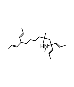 CC=CC(C=CC)CCCCC(C)(C)CC(C=CC)(C=CC)NC